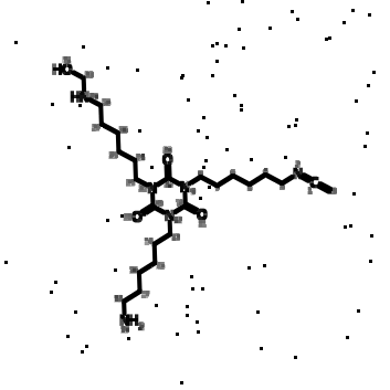 C=C=NCCCCCCn1c(=O)n(CCCCCCN)c(=O)n(CCCCCCNCO)c1=O